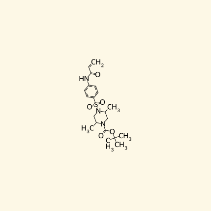 C=CC(=O)Nc1ccc(S(=O)(=O)N2CC(C)N(C(=O)OC(C)(C)C)CC2C)cc1